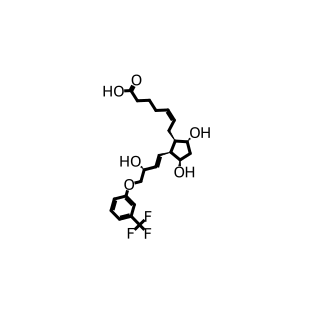 O=C(O)CCC/C=C\C[C@@H]1[C@H](/C=C/[C@@H](O)COc2cccc(C(F)(F)F)c2)[C@H](O)C[C@H]1O